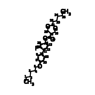 CCCCCCOc1ccc(-c2ccc(OC(=O)C3COC(CCCCC)OC3)cc2F)cc1